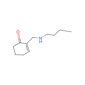 CCCCNCC1=CCCCC1=O